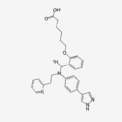 [2H]C(c1ccccc1OCCCCCC(=O)O)N(CCc1ccccn1)c1ccc(-c2cn[nH]c2)cc1